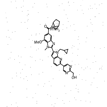 COc1cc(C(=O)N2CC3CCC2[C@@H]3N)cc2nc(-c3cc4ccc(-c5cnc(CO)nc5)nc4n3CC3CC3)n(C)c12